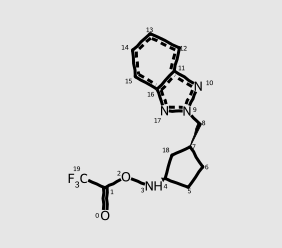 O=C(ON[C@@H]1CC[C@H](Cn2nc3ccccc3n2)C1)C(F)(F)F